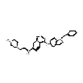 [O-][S+]1CCN(CCNc2ccc3c(Nc4ccc5c(cnn5Cc5ccccc5)c4)ncnc3c2)CC1